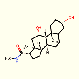 CNC(=O)[C@H]1CC[C@H]2[C@@H]3CCC4C[C@@H](O)CCC4(C)[C@H]3[C@@H](O)C[C@]12C